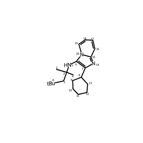 CC(C)(C)CC(C)(C)Nc1c(C2CCCCC2)nc2ccccn12